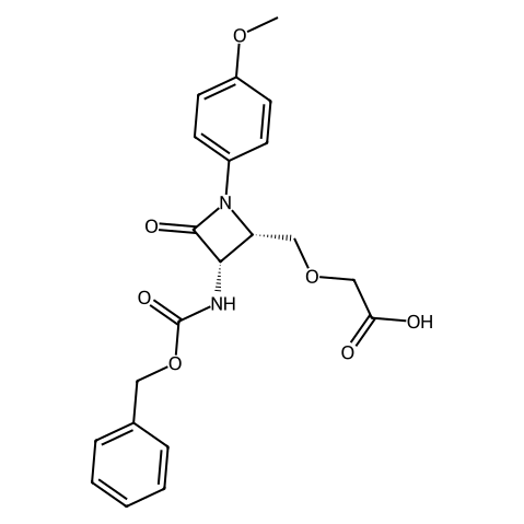 COc1ccc(N2C(=O)[C@@H](NC(=O)OCc3ccccc3)[C@H]2COCC(=O)O)cc1